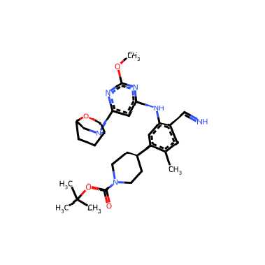 COc1nc(Nc2cc(C3CCN(C(=O)OC(C)(C)C)CC3)c(C)cc2C=N)cc(N2CC3CCC2CO3)n1